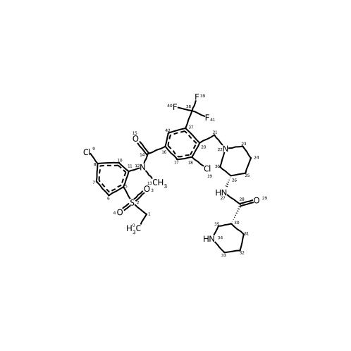 CCS(=O)(=O)c1ccc(Cl)cc1N(C)C(=O)c1cc(Cl)c(CN2CCC[C@H](NC(=O)[C@@H]3CCCNC3)C2)c(C(F)(F)F)c1